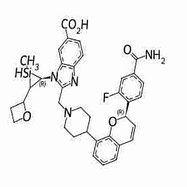 C[SiH]1C(C2CCO2)[C@@H]1n1c(CN2CCC(c3cccc4c3O[C@@H](c3ccc(C(N)=O)cc3F)C=C4)CC2)nc2ccc(C(=O)O)cc21